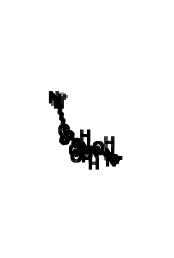 Cc1ccnc(NCCCC(=O)NCC(=O)N[C@@H](CC(=O)O)c2ccc(-c3ccc(OCCCCCCCCN=[N+]=[N-])c4ccccc34)cc2)c1